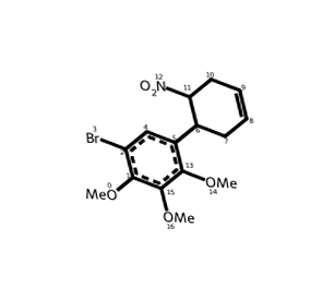 COc1c(Br)cc(C2CC=CCC2[N+](=O)[O-])c(OC)c1OC